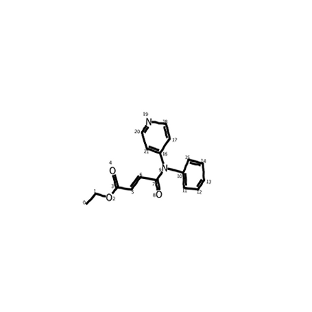 CCOC(=O)/C=C/C(=O)N(c1ccccc1)c1ccncc1